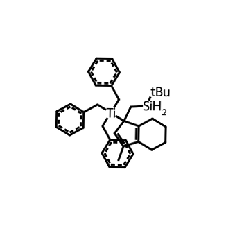 CC1=C[C](C[SiH2]C(C)(C)C)([Ti]([CH2]c2ccccc2)([CH2]c2ccccc2)[CH2]c2ccccc2)C2=C1CCCC2